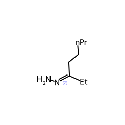 CCCCC/C(CC)=N\N